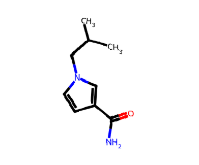 CC(C)Cn1ccc(C(N)=O)c1